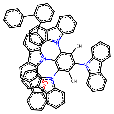 N#Cc1c(-n2c3ccccc3c3ccccc32)c(C#N)c(-n2c3ccccc3c3ccccc32)c(-n2c3cc(-c4ccccc4-c4ccccc4)ccc3c3ccc4c5ccccc5oc4c32)c1-n1c2ccccc2c2ccccc21